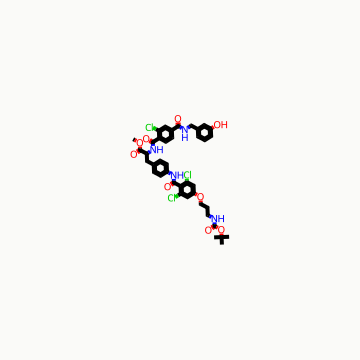 COC(=O)C(Cc1ccc(NC(=O)c2c(Cl)cc(OCCCNC(=O)OC(C)(C)C)cc2Cl)cc1)NC(=O)c1ccc(C(=O)NCc2cccc(O)c2)cc1Cl